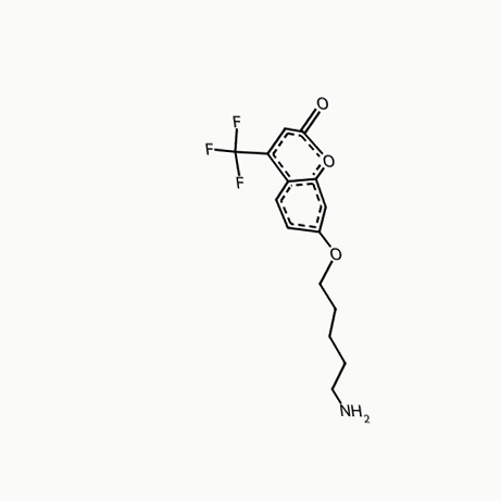 NCCCCCOc1ccc2c(C(F)(F)F)cc(=O)oc2c1